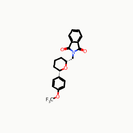 O=C1c2ccccc2C(=O)N1C[C@H]1CCC[C@@H](c2ccc(OC(F)(F)F)cc2)O1